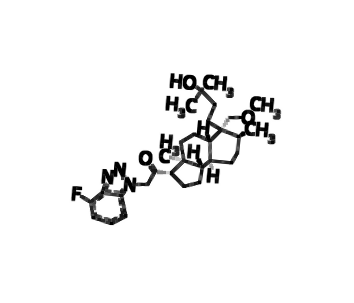 COC[C@]1(CCC(C)(C)O)[C@@H](C)CC[C@H]2[C@@H]3CC[C@H](C(=O)Cn4nnc5c(F)cccc54)[C@@]3(C)CC[C@@H]21